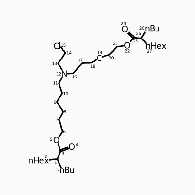 CCCCCCC(CCCC)C(=O)OCCCCCCN(CCCl)CCCCCCOC(=O)C(CCCC)CCCCCC